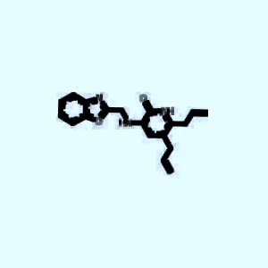 C=CCc1cc(NCc2nc3ccccc3o2)c(=O)[nH]c1CC=C